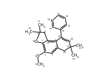 COc1cc2c(c3c1OC(C)(C)C3)C(c1cccnc1)=NC(C)(C)C2